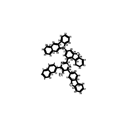 CCc1c(-c2ccc3ccccc3c2)nc(-c2cc(-n3c4ccccc4c4cc5ccccc5cc43)cc3oc4c(c23)CCC=C4)nc1-c1ccc2c(c1)oc1ccccc12